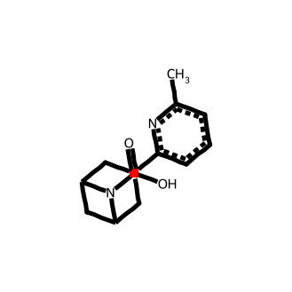 Cc1cccc(N2CC3CC(C2)N3C(=O)O)n1